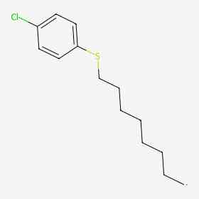 [CH2]CCCCCCCSc1ccc(Cl)cc1